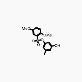 COc1ccc(OC)c(S(=O)(=O)Oc2cc(C)cc(O)c2)c1